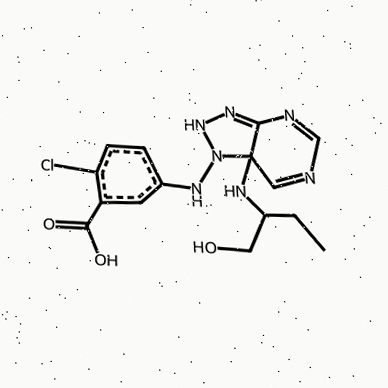 CCC(CO)NC12C=NC=NC1=NNN2Nc1ccc(Cl)c(C(=O)O)c1